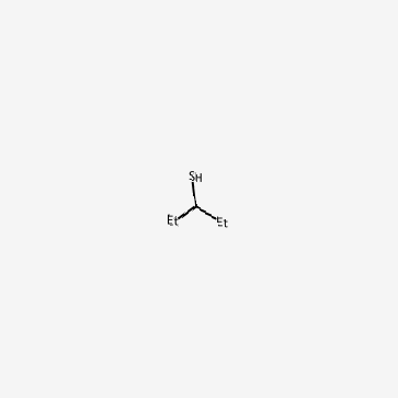 CCC(S)CC